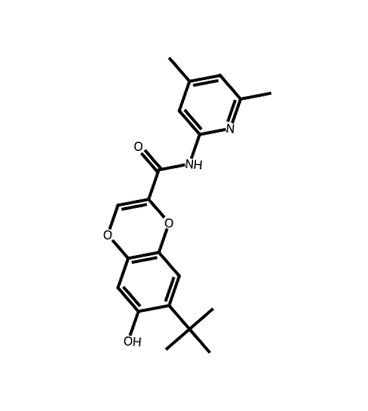 Cc1cc(C)nc(NC(=O)C2=COc3cc(O)c(C(C)(C)C)cc3O2)c1